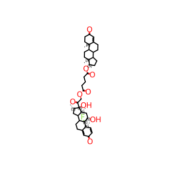 C[C@H]1CC2C3CCC4=CC(=O)C=C[C@]4(C)[C@@]3(F)[C@@H](O)C[C@]2(C)[C@@]1(O)C(=O)COC(=O)CCCC(=O)O[C@H]1CCC2C3CCC4=CC(=O)CC[C@]4(C)C3CC[C@@]21C